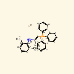 CC(=C[P+](c1ccccc1)(c1ccccc1)c1ccccc1)Nc1c(C)cccc1C.[Br-]